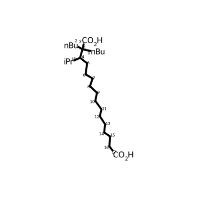 CCCCC(CCCC)(C(=O)O)C(CCCCCCCCCCCCC(=O)O)C(C)C